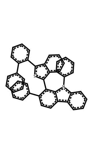 c1ccc(-c2ccccc2-c2sc(-c3c(-c4ccccc4)ccc4c5ccccc5n(-c5ccccc5)c34)c3ccccc23)cc1